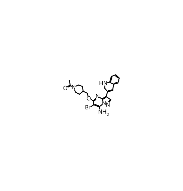 CC(=O)N1CCC(COc2nc3c(C4=Cc5ccccc5NC4)cnn3c(N)c2Br)CC1